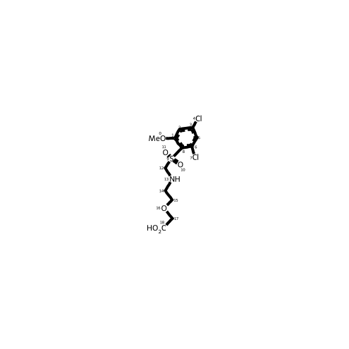 COc1cc(Cl)cc(Cl)c1S(=O)(=O)CNCCOCC(=O)O